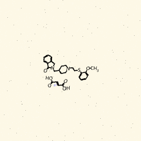 COc1ccccc1SCCN1CCC(CN2Cc3ccccc3C2=O)CC1.O=C(O)/C=C/C(=O)O